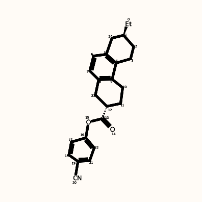 CC[C@H]1CCc2c(ccc3c2CC[C@H](C(=O)Oc2ccc(C#N)cc2)C3)C1